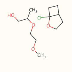 COCCOC(C)CO.ClC12CCC1CCO2